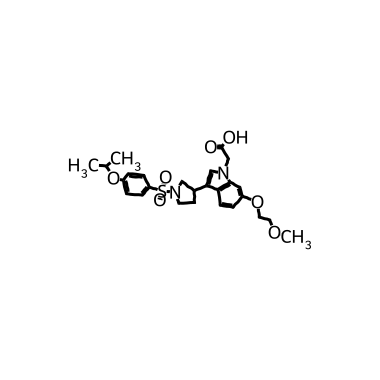 COCCOc1ccc2c(C3CCN(S(=O)(=O)c4ccc(OC(C)C)cc4)C3)cn(CC(=O)O)c2c1